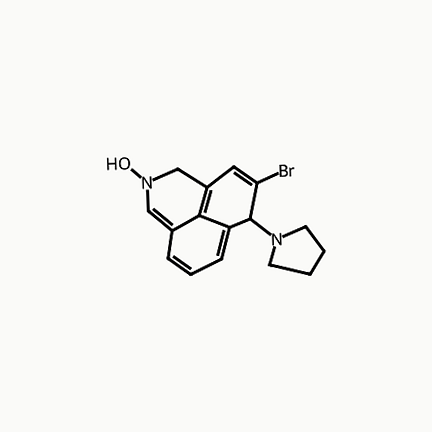 ON1C=c2cccc3c2=C(C=C(Br)C3N2CCCC2)C1